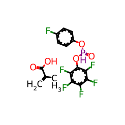 C=C(C)C(=O)O.O=[PH](Oc1ccc(F)cc1)Oc1c(F)c(F)c(F)c(F)c1F